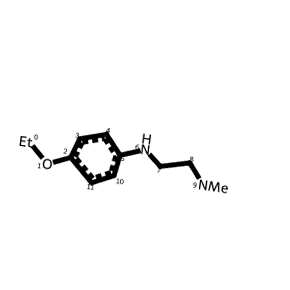 CCOc1ccc(NCCNC)cc1